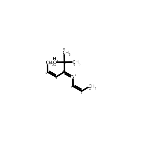 C\C=C/N=C(\C=C/C)C(C)(C)C